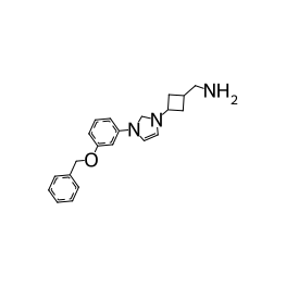 NCC1CC(N2C=CN(c3cccc(OCc4ccccc4)c3)C2)C1